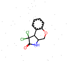 O=C1NC2COc3ccccc3C2C1(Cl)Cl